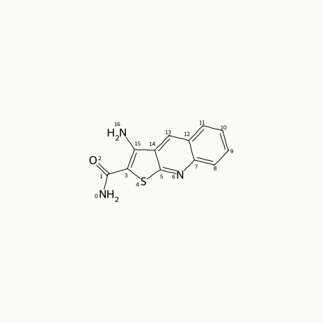 NC(=O)c1sc2nc3ccccc3cc2c1N